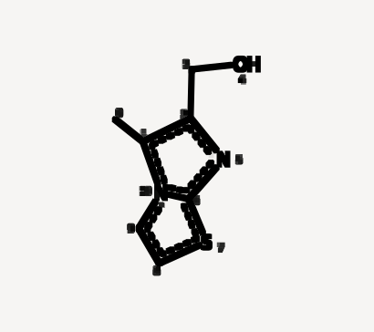 Cc1c(CO)nc2sccn12